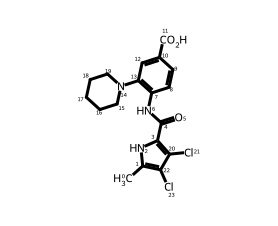 Cc1[nH]c(C(=O)Nc2ccc(C(=O)O)cc2N2CCCCC2)c(Cl)c1Cl